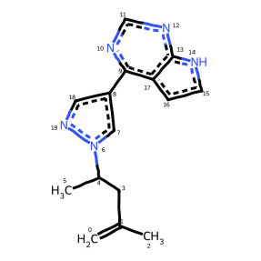 C=C(C)CC(C)n1cc(-c2ncnc3[nH]ccc23)cn1